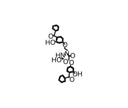 O=C(O)NN(CCOc1ccc(C(=O)c2ccccc2)c(O)c1)C(=O)COc1ccc(C(=O)c2ccccc2)c(O)c1